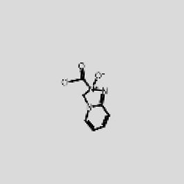 O=C(Cl)[N+]1([O-])CN2C=CC=CC2=N1